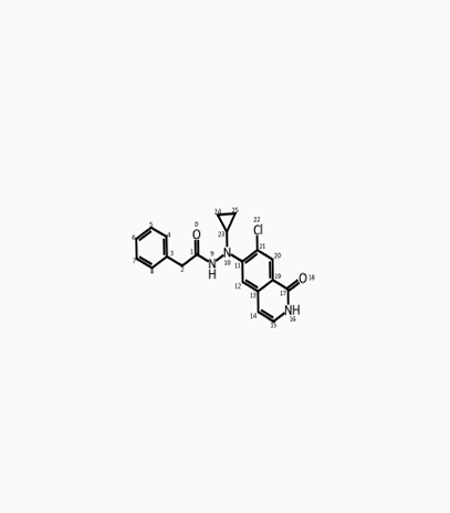 O=C(Cc1ccccc1)NN(c1cc2cc[nH]c(=O)c2cc1Cl)C1CC1